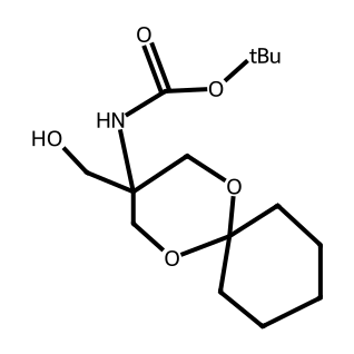 CC(C)(C)OC(=O)NC1(CO)COC2(CCCCC2)OC1